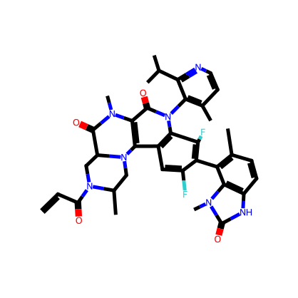 C=CC(=O)N1CC2C(=O)N(C)c3c(c4cc(F)c(-c5c(C)ccc6[nH]c(=O)n(C)c56)c(F)c4n(-c4c(C)ccnc4C(C)C)c3=O)N2CC1C